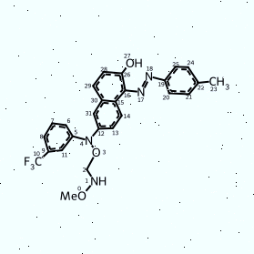 CONCON(c1cccc(C(F)(F)F)c1)c1ccc2c(N=Nc3ccc(C)cc3)c(O)ccc2c1